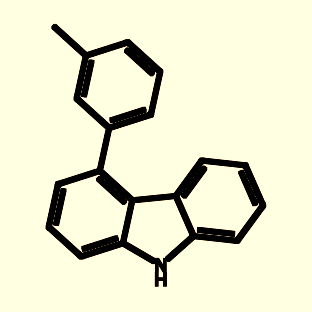 Cc1cccc(-c2cccc3[nH]c4ccccc4c23)c1